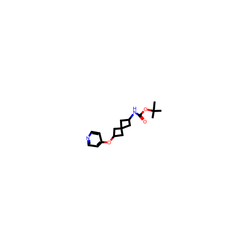 CC(C)(C)OC(=O)NC1CC2(C1)CC(Oc1ccncc1)C2